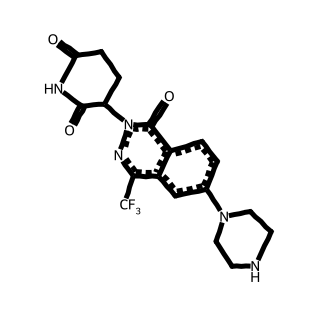 O=C1CCC(n2nc(C(F)(F)F)c3cc(N4CCNCC4)ccc3c2=O)C(=O)N1